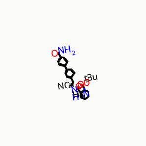 CC(C)(C)OC(=O)N1C2CCC(CC2)[C@H]1C(=O)N[C@H](C#N)Cc1ccc(-c2ccc(C(N)=O)cc2)cc1